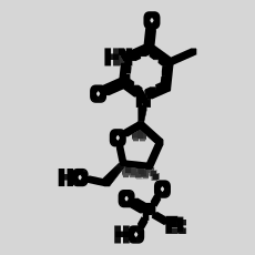 CCP(=O)(O)O[C@H]1C[C@H](n2cc(C)c(=O)[nH]c2=O)O[C@@H]1CO